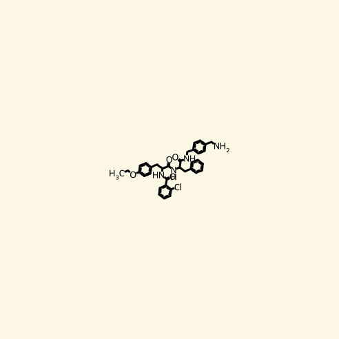 CCOc1ccc(CC(NC(=O)c2ccccc2Cl)C(=O)NC(Cc2ccccc2)C(=O)NCc2ccc(CN)cc2)cc1